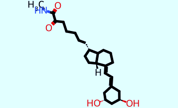 CNC(=O)C(=O)CCCCC[C@H]1CC[C@H]2/C(=C/C=C3C[C@@H](O)C[C@H](O)C3)CCCC12